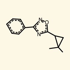 CC1(C)CC1c1nc(-c2ccccc2)no1